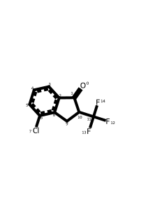 O=C1c2cccc(Cl)c2CC1C(F)(F)F